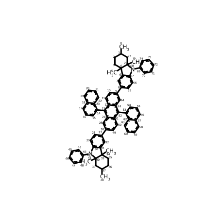 CC1CCC2(C)c3cc(-c4ccc5c(-c6cccc7ccccc67)c6cc(-c7ccc8c(c7)C7(C)CCC(C)CC7(C)N8c7ccccc7)ccc6c(-c6cccc7ccccc67)c5c4)ccc3N(c3ccccc3)C2(C)C1